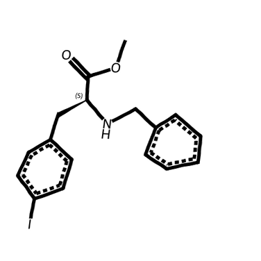 COC(=O)[C@H](Cc1ccc(I)cc1)NCc1ccccc1